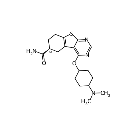 CN(C)C1CCC(Oc2ncnc3sc4c(c23)C[C@@H](C(N)=O)CC4)CC1